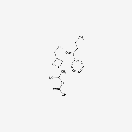 CC(C)OC(=O)O.CCC1COO1.CCCC(=O)c1ccccc1